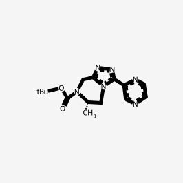 C[C@H]1Cn2c(nnc2-c2cnccn2)CN1C(=O)OC(C)(C)C